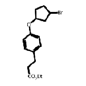 CCOC(=O)CCc1ccc(OC2CCC(Br)C2)cc1